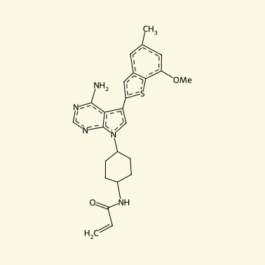 C=CC(=O)NC1CCC(n2cc(-c3cc4cc(C)cc(OC)c4s3)c3c(N)ncnc32)CC1